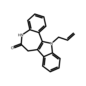 C=CCn1c2c(c3ccccc31)CC(=O)Nc1ccccc1-2